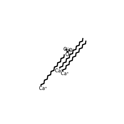 CCCCCCCCCCCCCC[CH2][Ca+].CCCCCCCCCCCCCC[CH2][Ca+].CCCCCCCCCCCCCC[CH2][Ca+].[O-]B([O-])[O-]